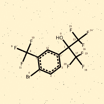 OC(c1ccc(Br)c(C(F)(F)F)c1)(C(F)(F)F)C(F)(F)F